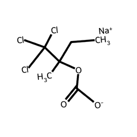 CCC(C)(OC(=O)[O-])C(Cl)(Cl)Cl.[Na+]